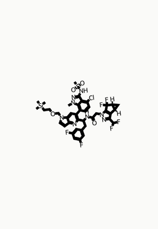 Cn1nc(NS(C)(=O)=O)c2c(Cl)ccc(-c3cc4c(ccn4COCC[Si](C)(C)C)nc3C(Cc3cc(F)cc(F)c3)NC(=O)Cn3nc(C(F)F)c4c3C(F)(F)[C@@H]3C[C@H]43)c21